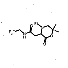 CCN1CC(C)(C)OC(=O)C1CC(=O)NCC(F)(F)F